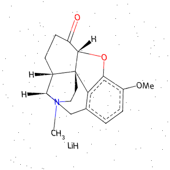 COc1ccc2c3c1O[C@H]1C(=O)CC[C@H]4[C@@H](C2)N(C)CC[C@]314.[LiH]